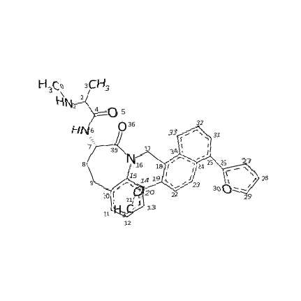 CNC(C)C(=O)N[C@H]1CCc2ccccc2N(Cc2c(OC)ccc3c(-c4ccco4)cccc23)C1=O